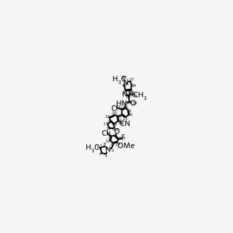 COc1c(CN2CCC(C)C2)cc(Cl)c(OC2CCc3ccc(-c4cccc(NC(=O)c5nc6c(n5C)CCN(C)C6)c4Cl)c(C#N)c32)c1F